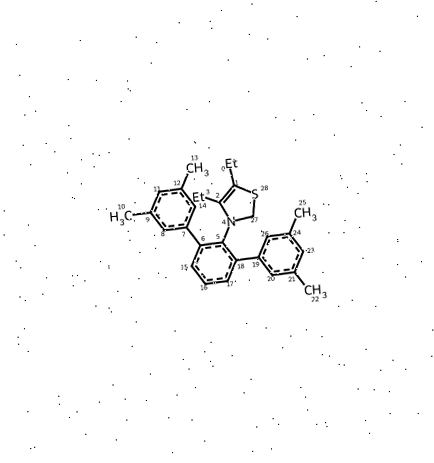 CCC1=C(CC)N(c2c(-c3cc(C)cc(C)c3)cccc2-c2cc(C)cc(C)c2)CS1